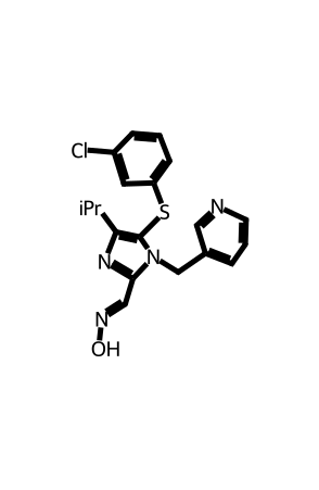 CC(C)c1nc(C=NO)n(Cc2cccnc2)c1Sc1cccc(Cl)c1